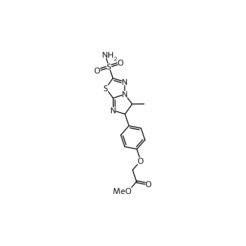 COC(=O)COc1ccc(C2N=C3SC(S(N)(=O)=O)=NN3C2C)cc1